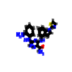 NC(=O)c1nnc(N[C@@H]2CCCC[C@@H]2N)nc1Nc1cccc2c1ccn2-c1nccs1